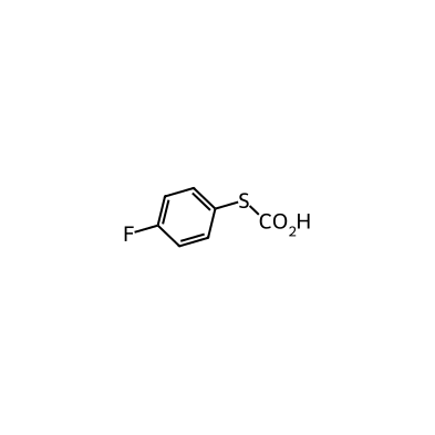 O=C(O)Sc1ccc(F)cc1